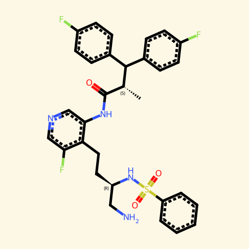 C[C@H](C(=O)Nc1cncc(F)c1CC[C@H](CN)NS(=O)(=O)c1ccccc1)C(c1ccc(F)cc1)c1ccc(F)cc1